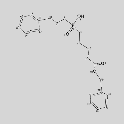 O=C(CCCCP(=O)(O)CCCc1ccccc1)OCc1ccccc1